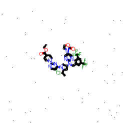 CCOC(=O)C1CCN(c2ncc(Cl)c(N3CC(N(Cc4cc(C(F)(F)F)cc(C(F)(F)F)c4)c4ncc(N5CCOC5=O)cn4)CC3CC)n2)CC1